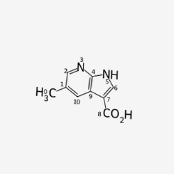 Cc1cnc2[nH]cc(C(=O)O)c2c1